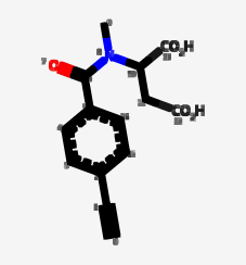 [C]#Cc1ccc(C(=O)N(C)C(CC(=O)O)C(=O)O)cc1